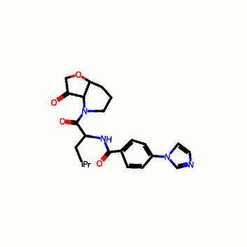 CC(C)CC(NC(=O)c1ccc(-n2ccnc2)cc1)C(=O)N1CCCC2OCC(=O)C21